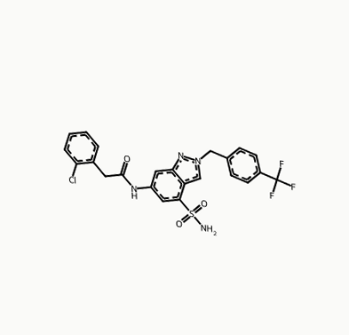 NS(=O)(=O)c1cc(NC(=O)Cc2ccccc2Cl)cc2nn(Cc3ccc(C(F)(F)F)cc3)cc12